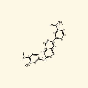 COc1ccc(Nc2ncc3cc(-c4cccc(C(N)=O)c4)ccc3n2)cc1Cl